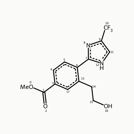 COC(=O)c1ccc(-c2nc(C(F)(F)F)c[nH]2)c(CCO)c1